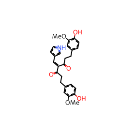 COc1cc(CCC(=O)C(=Cc2cc[nH]c2)C(=O)CCc2ccc(O)c(OC)c2)ccc1O